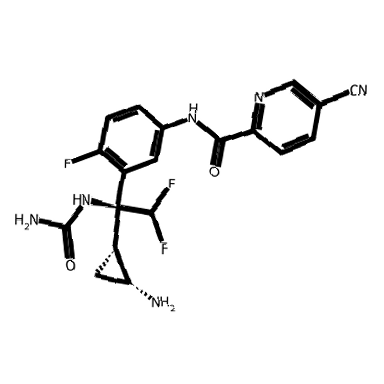 N#Cc1ccc(C(=O)Nc2ccc(F)c([C@](NC(N)=O)(C(F)F)[C@H]3C[C@H]3N)c2)nc1